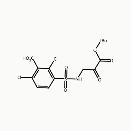 CC(C)(C)OC(=O)C(=O)CNS(=O)(=O)c1ccc(Cl)c(C(=O)O)c1Cl